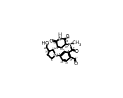 CN(C(=O)c1cc(N2CCC(CO)C2)ccc1C=O)C1CCC(=O)NC1=O